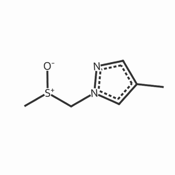 Cc1cnn(C[S+](C)[O-])c1